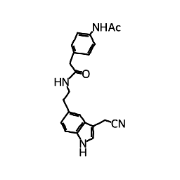 CC(=O)Nc1ccc(CC(=O)NCCc2ccc3[nH]cc(CC#N)c3c2)cc1